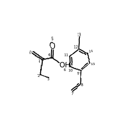 C=C(CC)C(=O)O.C=Cc1ccc(C)cc1